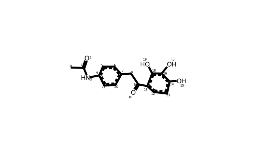 CC(=O)Nc1ccc(CC(=O)c2ccc(O)c(O)c2O)cc1